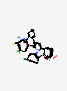 NC(=O)c1ccccc1-c1cc(-c2ccccc2)n(-c2cc(Cl)ccc2CCO)c1-c1ccc(F)c(Cl)c1